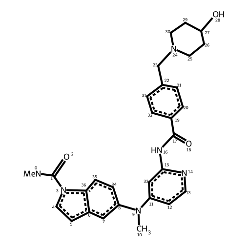 CNC(=O)n1ccc2cc(N(C)c3ccnc(NC(=O)c4ccc(CN5CCC(O)CC5)cc4)c3)ccc21